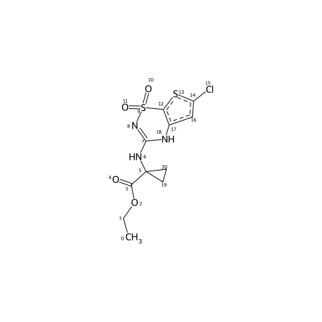 CCOC(=O)C1(NC2=NS(=O)(=O)c3sc(Cl)cc3N2)CC1